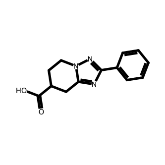 O=C(O)C1CCn2nc(-c3ccccc3)nc2C1